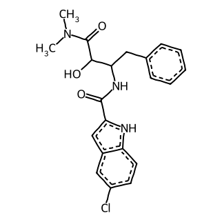 CN(C)C(=O)C(O)C(Cc1ccccc1)NC(=O)c1cc2cc(Cl)ccc2[nH]1